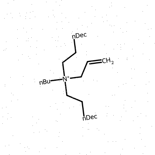 C=CC[N+](CCCC)(CCCCCCCCCCCC)CCCCCCCCCCCC